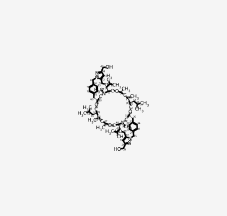 CC(C)C[C@H]1CO[C@H](C)CN(C)[C@@H](CC(C)C)CO[C@H](Cc2ccc(Cn3nc(CO)cc3CO)cc2)CN(C)[C@@H](CC(C)C)CO[C@H](C)CN(C)[C@@H](CC(C)C)CO[C@H](Cc2ccc(Cn3nc(CO)cc3CO)cc2)CN1C